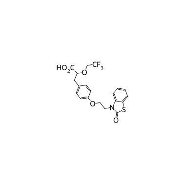 O=C(O)C(Cc1ccc(OCCn2c(=O)sc3ccccc32)cc1)OCC(F)(F)F